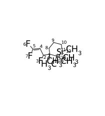 CC1(C(F)C=C(F)F)CCC[Si](C)(C)C1(C)C